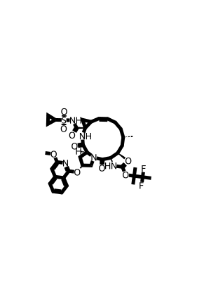 COc1cc2ccccc2c(O[C@@H]2C[C@H]3C(=O)N[C@]4(C(=O)NS(=O)(=O)C5CC5)CC4/C=C\CC[C@H](C)C[C@@H](C)[C@H](NC(=O)OC(C)(C)C(C)(F)F)C(=O)N3C2)n1